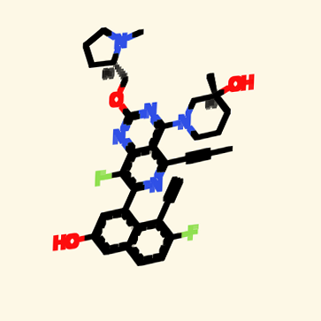 C#Cc1c(F)ccc2cc(O)cc(-c3nc(C#CC)c4c(N5CCC[C@@](C)(O)C5)nc(OC[C@@H]5CCCN5C)nc4c3F)c12